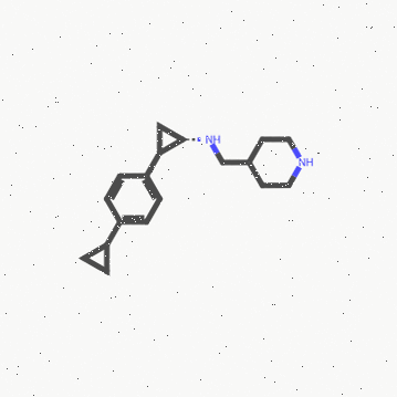 c1cc(C2C[C@@H]2NCC2CCNCC2)ccc1C1CC1